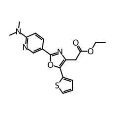 CCOC(=O)Cc1nc(-c2ccc(N(C)C)nc2)oc1-c1cccs1